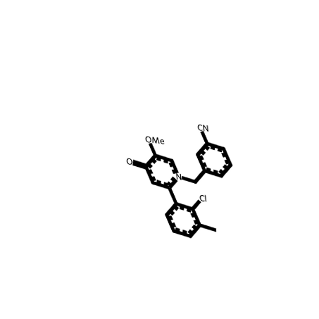 COc1cn(Cc2cccc(C#N)c2)c(-c2cccc(C)c2Cl)cc1=O